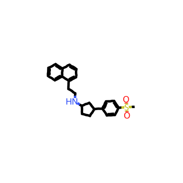 CS(=O)(=O)c1ccc(C2CCC(NCCc3cccc4ccccc34)C2)cc1